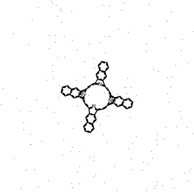 c1ccc2cc3c(cc2c1)-c1cc2[nH]c(cc4nc(cc5[nH]c(cc-3n1)c1cc3ccccc3cc51)-c1cc3ccccc3cc1-4)c1cc3ccccc3cc21